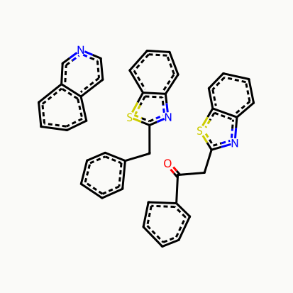 O=C(Cc1nc2ccccc2s1)c1ccccc1.c1ccc(Cc2nc3ccccc3s2)cc1.c1ccc2cnccc2c1